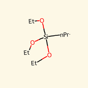 CC[CH][Si](OCC)(OCC)OCC